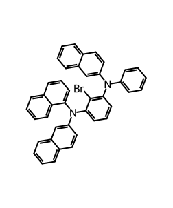 Brc1c(N(c2ccccc2)c2ccc3ccccc3c2)cccc1N(c1ccc2ccccc2c1)c1cccc2ccccc12